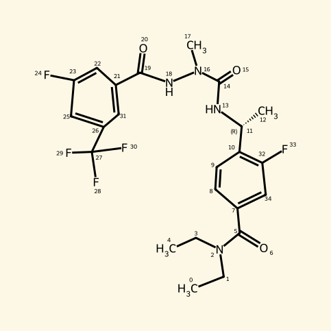 CCN(CC)C(=O)c1ccc([C@@H](C)NC(=O)N(C)NC(=O)c2cc(F)cc(C(F)(F)F)c2)c(F)c1